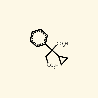 O=C(O)CC(C(=O)O)(c1ccccc1)C1CC1